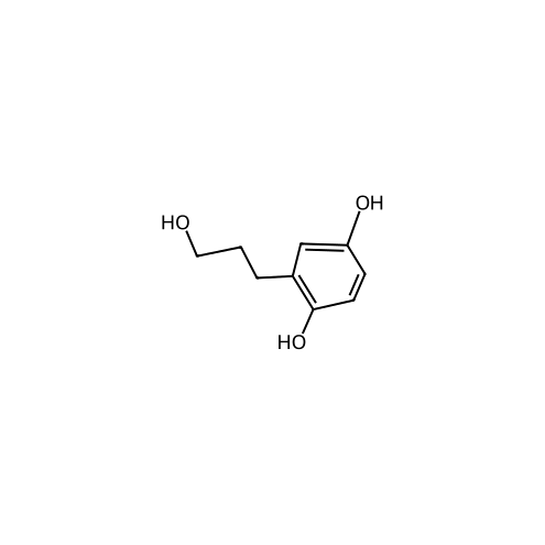 OCCCc1cc(O)ccc1O